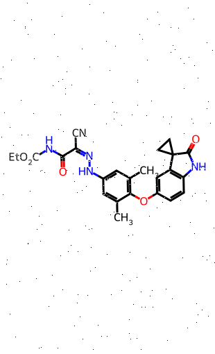 CCOC(=O)NC(=O)C(C#N)=NNc1cc(C)c(Oc2ccc3c(c2)C2(CC2)C(=O)N3)c(C)c1